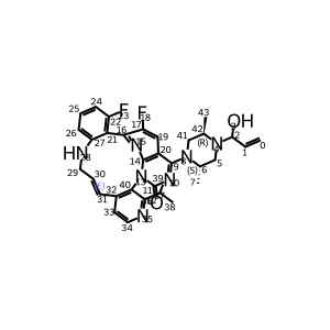 C=CC(O)N1C[C@H](C)N(c2nc(=O)n3c4nc(c(F)cc24)-c2c(F)cccc2NC/C=C/c2ccnc(C(C)C)c2-3)C[C@H]1C